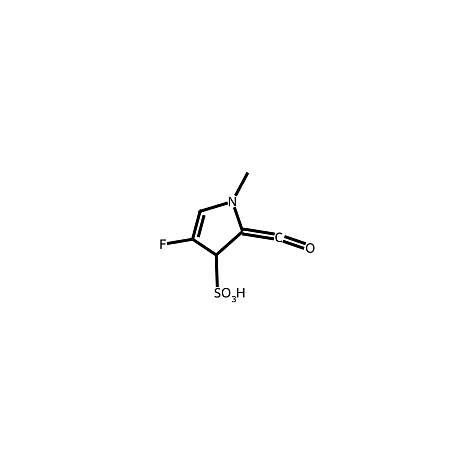 CN1C=C(F)C(S(=O)(=O)O)C1=C=O